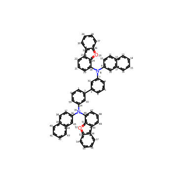 c1cc(-c2cccc(N(c3ccc4ccccc4c3)c3cccc4c3oc3ccccc34)c2)cc(N(c2ccc3ccccc3c2)c2cccc3c2oc2ccccc23)c1